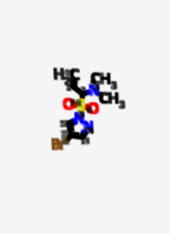 C=CC(N(C)C)S(=O)(=O)n1cc(Br)cn1